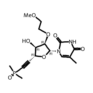 COCCO[C@@H]1[C@H](O)[C@@H](C#CP(C)(C)=O)O[C@H]1n1cc(C)c(=O)[nH]c1=O